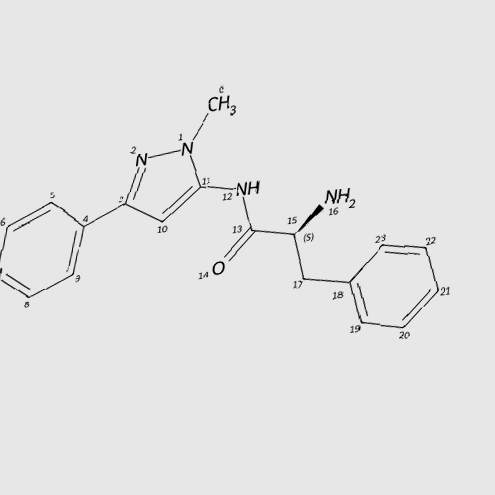 Cn1nc(-c2ccncc2)cc1NC(=O)[C@@H](N)Cc1ccccc1